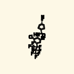 N#Cc1ccc(C(=O)Nc2c(Cl)cc(C(F)(C(F)(F)F)C(F)(F)C(F)(F)F)cc2Br)cc1